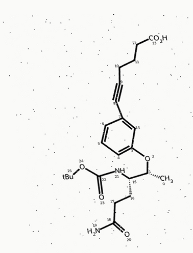 C[C@@H](Oc1cccc(C#CCCCC(=O)O)c1)[C@H](CCC(N)=O)NC(=O)OC(C)(C)C